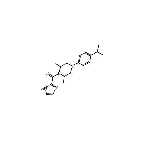 CC(C)c1ccc(N2CC(C)N(C(=O)c3ncc[nH]3)C(C)C2)cc1